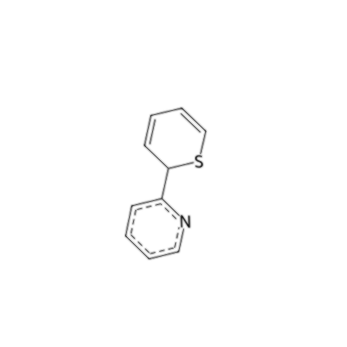 C1=CSC(c2ccccn2)C=C1